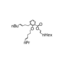 CCCC=CCCCOc1c(CCC=CCCCC)cccc1C(=O)OC=CCCCCCC